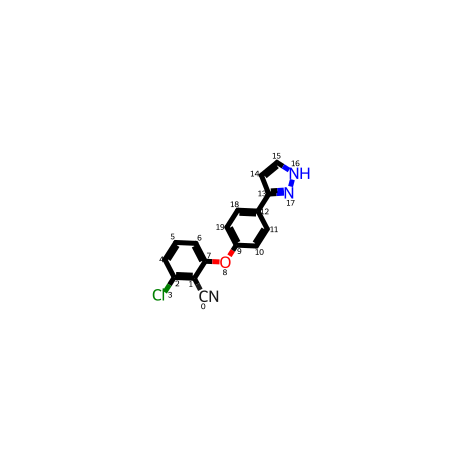 N#Cc1c(Cl)cccc1Oc1ccc(-c2cc[nH]n2)cc1